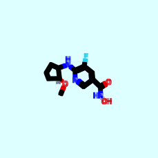 CO[C@H]1CCCC1Nc1ncc(C(=O)NO)cc1F